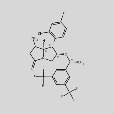 C[C@@H](O[C@H]1CN2C(=O)CC(N)[C@H]2[C@@H]1c1ccc(F)cc1Cl)c1cc(C(F)(F)F)cc(C(F)(F)F)c1